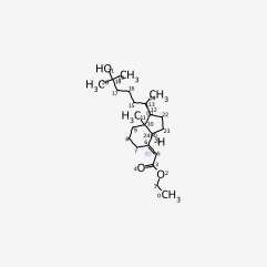 CCOC(=O)/C=C1\CCCC2(C)[C@@H](C(C)CCCC(C)(C)O)CC[C@@H]12